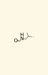 [CH2]C(C)CNC=O